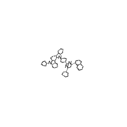 c1ccc(-c2cc(-c3cccc4ccccc34)nc(-c3ccc(-n4c5ccccc5c5ccc6c(c7ccccc7n6-c6ccccc6)c54)cc3)n2)cc1